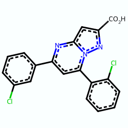 O=C(O)c1cc2nc(-c3cccc(Cl)c3)cc(-c3ccccc3Cl)n2n1